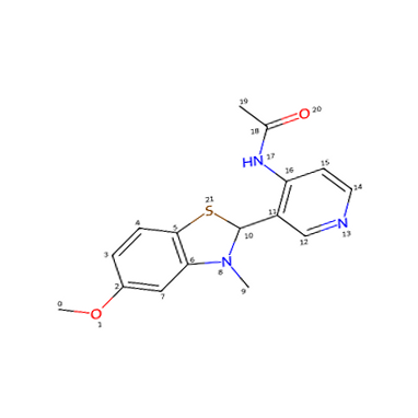 COc1ccc2c(c1)N(C)C(c1cnccc1NC(C)=O)S2